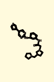 O=C(CN1CCC(CN2CCCC2)C1)Nc1cccc(Nc2ncc(-c3ccsc3)cn2)c1